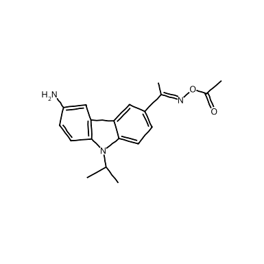 CC(=O)O/N=C(\C)c1ccc2c(c1)c1cc(N)ccc1n2C(C)C